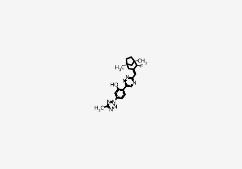 Cc1nnn(-c2ccc(-c3cnc(/C=C4\C[C@@]5(C)CC[C@](C)(C5)[C@H]4F)nn3)c(O)c2)n1